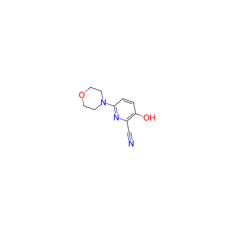 N#Cc1nc(N2CCOCC2)ccc1O